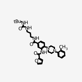 Cc1ccccc1N1CCN(c2ccc(C(=O)NCCCNC(=O)NC(C)(C)C)cc2NC(=O)c2ccco2)CC1